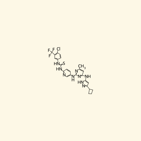 Cc1cc(Nc2cc(C3CCC3)n[nH]2)nc(Nc2ccc(NC(=S)Nc3ccc(Cl)c(C(F)(F)F)c3)nc2)n1